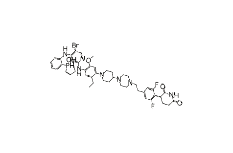 CCc1cc(Nc2ncc(Br)c(Nc3ccccc3[PH]3(O)CCCC3)n2)c(OC)cc1N1CCC(N2CCN(CCc3cc(F)c(C4CCC(=O)NC4=O)c(F)c3)CC2)CC1